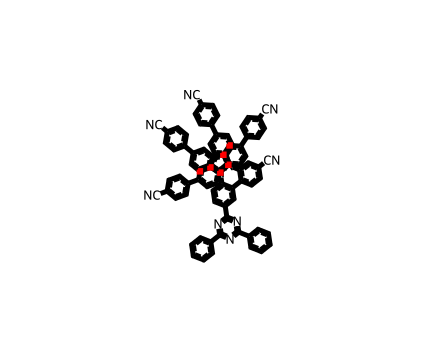 N#Cc1ccc(-c2ccc3c(c2)c2cc(-c4ccc(C#N)cc4)ccc2n3-c2ccc(-c3nc(-c4ccccc4)nc(-c4ccccc4)n3)cc2-c2ccc(C#N)cc2-n2c3ccc(-c4ccc(C#N)cc4)cc3c3cc(-c4ccc(C#N)cc4)ccc32)cc1